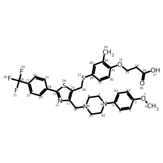 COc1ccc(N2CCN(Cc3nc(-c4ccc(C(F)(F)F)cc4)sc3CSc3ccc(OCCC(=O)O)c(C)c3)CC2)cc1